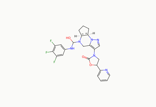 O=C1OC(c2ccccn2)CN1c1cnn2c1CN(C(O)Nc1cc(F)c(F)c(F)c1)[C@H]1CCC[C@H]12